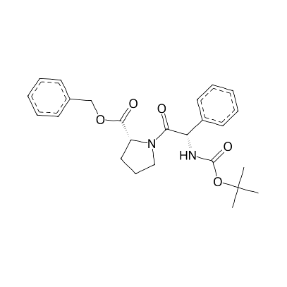 CC(C)(C)OC(=O)N[C@H](C(=O)N1CCC[C@@H]1C(=O)OCc1ccccc1)c1ccccc1